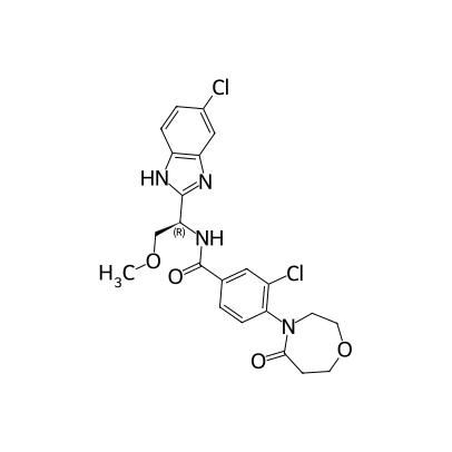 COC[C@H](NC(=O)c1ccc(N2CCOCCC2=O)c(Cl)c1)c1nc2cc(Cl)ccc2[nH]1